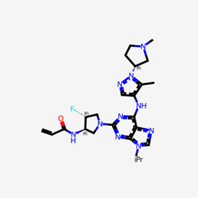 C=CC(=O)N[C@@H]1CN(c2nc(Nc3cnn([C@@H]4CCN(C)C4)c3C)c3ncn(C(C)C)c3n2)C[C@H]1F